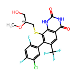 CO[C@@H](CO)CSc1c(-c2cc(Cl)c(F)cc2F)c(C(F)(F)F)cc2c(=O)[nH]c(=O)[nH]c12